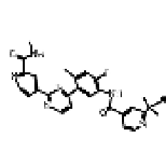 CNC(=O)c1cc(-c2nccc(-c3cc(NC(=O)c4ccnc(C(C)(C)C#N)c4)c(F)cc3C)n2)ccn1